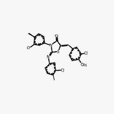 Cc1ccc(/N=C2\S/C(=C\c3ccc(O)c(Cl)c3)C(=O)N2c2ccc(C)c(Cl)c2)cc1Cl